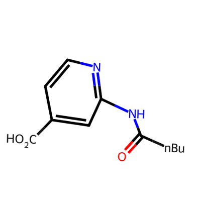 CCCCC(=O)Nc1cc(C(=O)O)ccn1